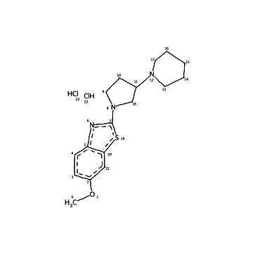 COc1ccc2nc(N3CCC(N4CCCCC4)C3)sc2c1.Cl.Cl